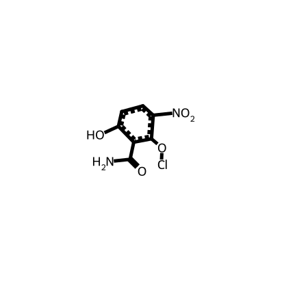 NC(=O)c1c(O)ccc([N+](=O)[O-])c1OCl